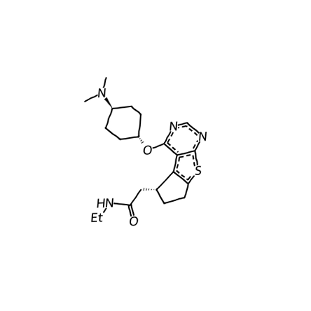 CCNC(=O)C[C@H]1CCc2sc3ncnc(O[C@H]4CC[C@H](N(C)C)CC4)c3c21